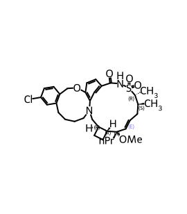 CCC[C@]1(OC)/C=C/C[C@H](C)[C@@H](C)S(=O)(=O)NC(=O)c2ccc3c(c2)N(CCCCc2cc(Cl)ccc2CO3)C[C@@H]2CC[C@H]21